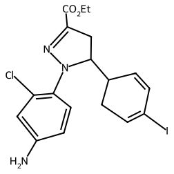 CCOC(=O)C1=NN(c2ccc(N)cc2Cl)C(C2C=CC(I)=CC2)C1